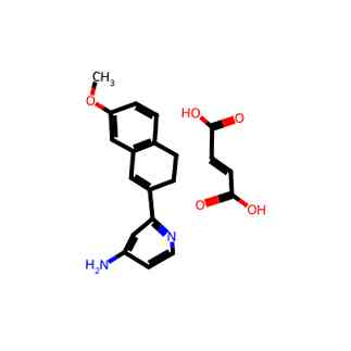 COc1ccc2c(c1)C=C(c1cc(N)ccn1)CC2.O=C(O)C=CC(=O)O